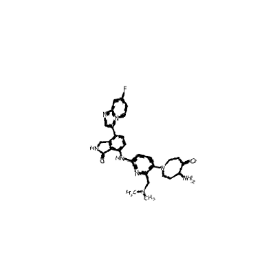 CN(C)Cc1nc(Nc2ccc(-c3cnc4cc(F)ccn34)c3c2C(=O)NC3)ccc1N1CCC(=O)C(N)CC1